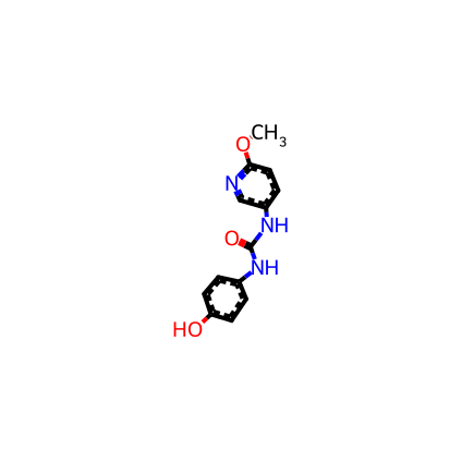 COc1ccc(NC(=O)Nc2ccc(O)cc2)cn1